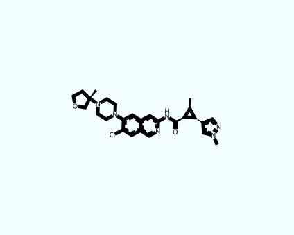 C[C@@H]1[C@H](C(=O)Nc2cc3cc(N4CCN([C@@]5(C)CCOC5)CC4)c(Cl)cc3cn2)[C@H]1c1cnn(C)c1